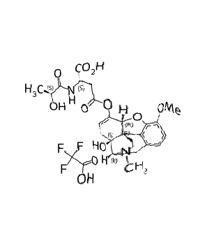 COc1ccc2c3c1O[C@H]1C(OC(=O)C[C@H](NC(=O)[C@H](C)O)C(=O)O)=CC[C@@]4(O)[C@@H](C2)N(C)CC[C@]314.O=C(O)C(F)(F)F